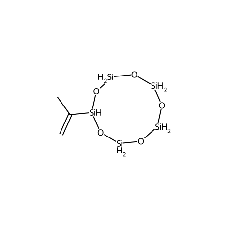 C=C(C)[SiH]1O[SiH2]O[SiH2]O[SiH2]O[SiH2]O1